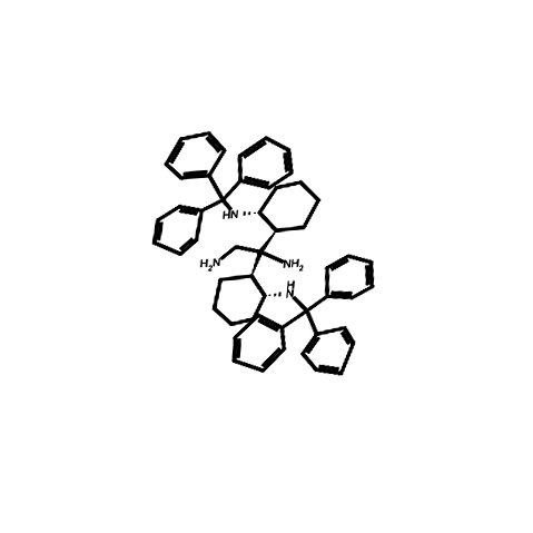 NCC(N)([C@@H]1CCCC[C@H]1NC(c1ccccc1)(c1ccccc1)c1ccccc1)[C@@H]1CCCC[C@H]1NC(c1ccccc1)(c1ccccc1)c1ccccc1